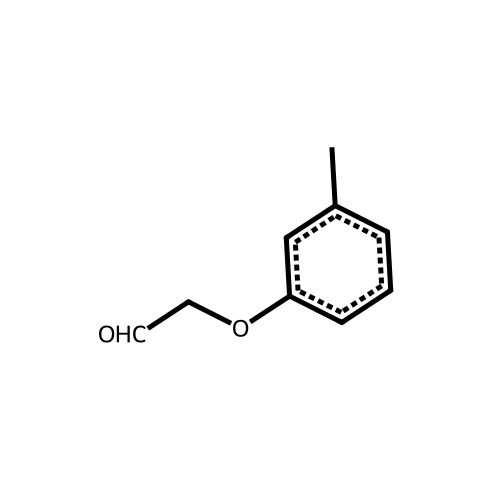 Cc1cccc(OCC=O)c1